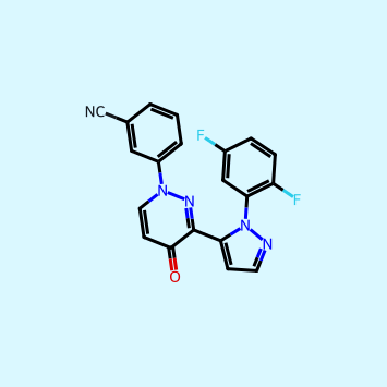 N#Cc1cccc(-n2ccc(=O)c(-c3ccnn3-c3cc(F)ccc3F)n2)c1